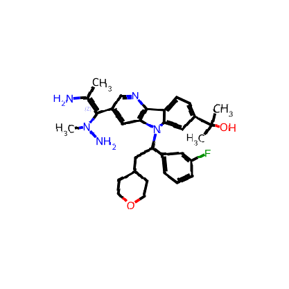 C/C(N)=C(\c1cnc2c3ccc(C(C)(C)O)cc3n(C(CC3CCOCC3)c3cccc(F)c3)c2c1)N(C)N